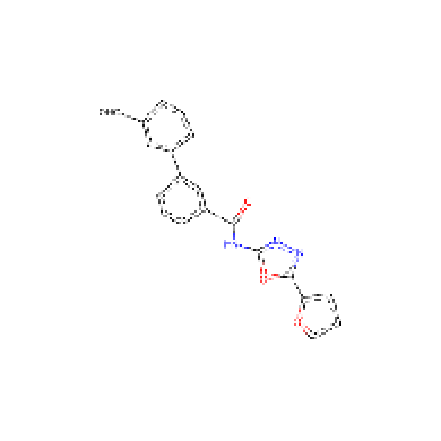 O=Cc1cccc(-c2cccc(C(=O)Nc3nnc(-c4ccco4)o3)c2)c1